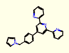 c1ccc(-c2cc(-c3ccc(Cn4cccc4)cc3)cc(-c3ccccn3)n2)nc1